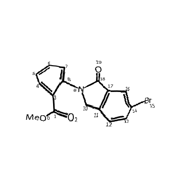 COC(=O)c1ccccc1N1Cc2ccc(Br)cc2C1=O